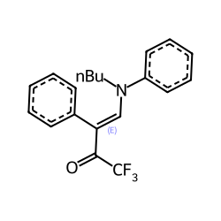 CCCCN(/C=C(/C(=O)C(F)(F)F)c1ccccc1)c1ccccc1